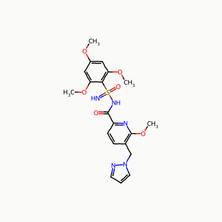 COc1cc(OC)c(S(=N)(=O)NC(=O)c2ccc(Cn3cccn3)c(OC)n2)c(OC)c1